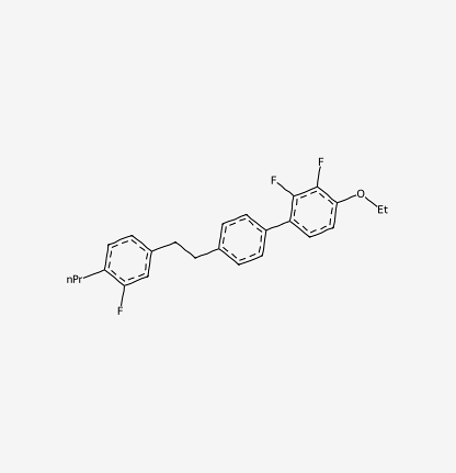 CCCc1ccc(CCc2ccc(-c3ccc(OCC)c(F)c3F)cc2)cc1F